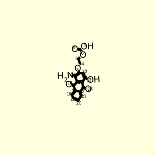 Nc1c(OCCOC(=O)O)cc(O)c2c1C(=O)c1ccccc1C2=O